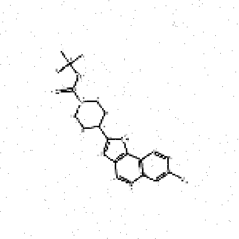 CC(C)(C)OC(=O)N1CCC(c2nc3cnc4cc(Br)ccc4c3[nH]2)CC1